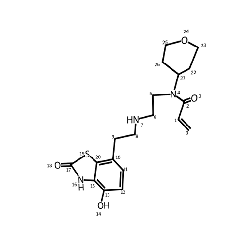 C=CC(=O)N(CCNCCc1ccc(O)c2[nH]c(=O)sc12)C1CCOCC1